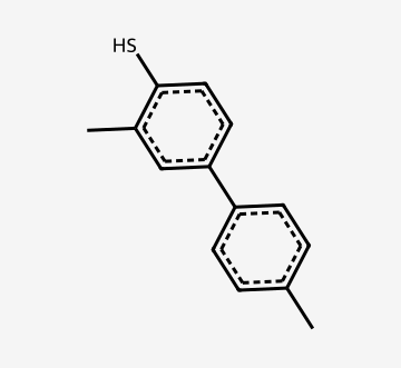 Cc1ccc(-c2ccc(S)c(C)c2)cc1